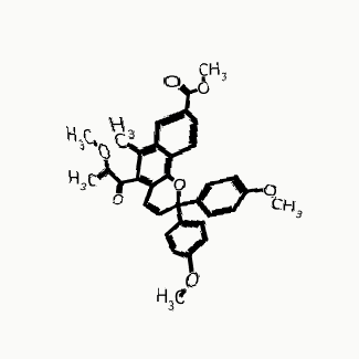 COC(=O)c1ccc2c3c(c(C(=O)C(C)OC)c(C)c2c1)C=CC(c1ccc(OC)cc1)(c1ccc(OC)cc1)O3